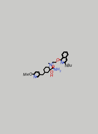 CCCCc1cc2ccccc2c(OCC[N+](C)(C)[C@H]2CCC(Cc3ccc(OC)nc3)C[C@@]2(O)C(N)=O)n1